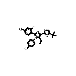 CCc1c(-c2ncc(C(C)(C)C)o2)nc(-c2ccc(Cl)cc2Cl)n1-c1ccc(Cl)cc1